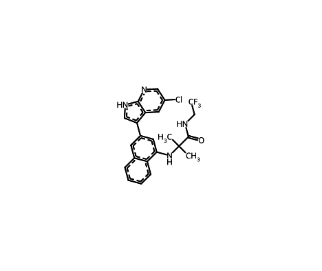 CC(C)(Nc1cc(-c2c[nH]c3ncc(Cl)cc23)cc2ccccc12)C(=O)NCC(F)(F)F